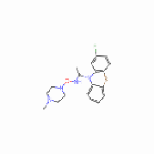 CC(NON1CCN(C)CC1)N1c2ccccc2Sc2ccc(F)cc21